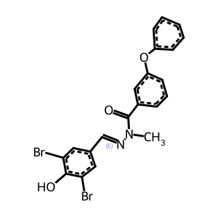 CN(/N=C/c1cc(Br)c(O)c(Br)c1)C(=O)c1cccc(Oc2ccccc2)c1